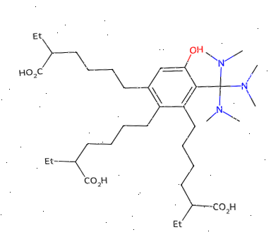 CCC(CCCCc1cc(O)c(C(N(C)C)(N(C)C)N(C)C)c(CCCCC(CC)C(=O)O)c1CCCCC(CC)C(=O)O)C(=O)O